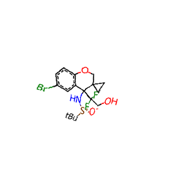 CC(C)(C)[S+]([O-])NC1(C(F)(F)CO)c2cc(Br)ccc2OCC12CC2